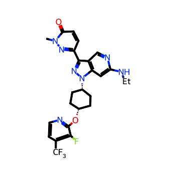 CCNc1cc2c(cn1)c(-c1ccc(=O)n(C)n1)nn2[C@H]1CC[C@@H](Oc2nccc(C(F)(F)F)c2F)CC1